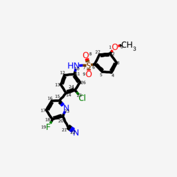 COc1cccc(S(=O)(=O)Nc2ccc(-c3ccc(F)c(C#N)n3)c(Cl)c2)c1